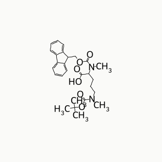 CN(CCCC(C(=O)O)N(C)C(=O)OCC1c2ccccc2-c2ccccc21)C(=O)OC(C)(C)C